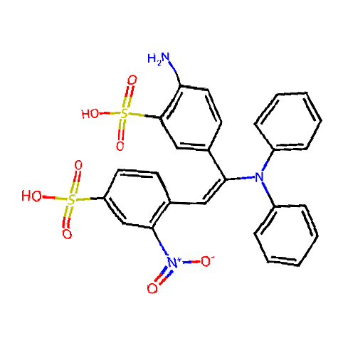 Nc1ccc(C(=Cc2ccc(S(=O)(=O)O)cc2[N+](=O)[O-])N(c2ccccc2)c2ccccc2)cc1S(=O)(=O)O